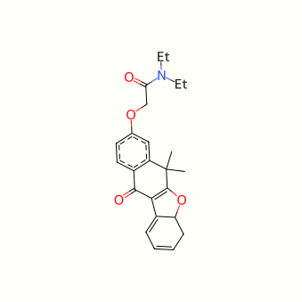 CCN(CC)C(=O)COc1ccc2c(c1)C(C)(C)C1=C(C2=O)C2=CC=CCC2O1